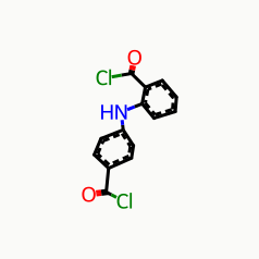 O=C(Cl)c1ccc(Nc2ccccc2C(=O)Cl)cc1